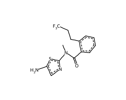 CN(C(=O)c1ccccc1CCC(F)(F)F)c1ncc(N)s1